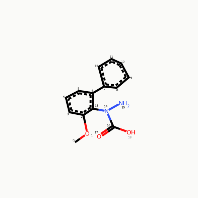 COc1cccc(-c2ccccc2)c1N(N)C(=O)O